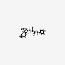 CCCC(CCNC(=O)OCc1ccccc1)CC1(C)CCNCC1